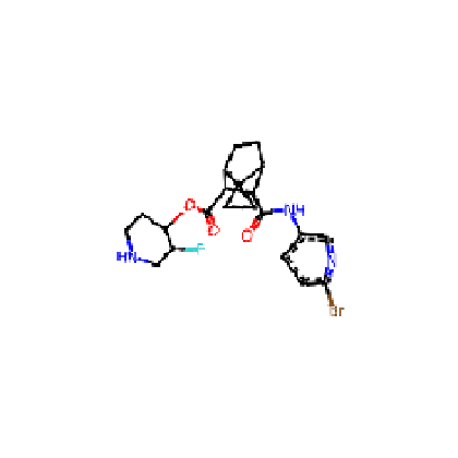 O=C(Nc1ccc(Br)nc1)C1C(C(=O)OC2CCNC[C@@H]2F)C2CCC1C21CC1